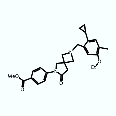 CCOc1cc(CN2CC3(CC(=O)N(c4ccc(C(=O)OC)cc4)C3)C2)c(C2CC2)cc1C